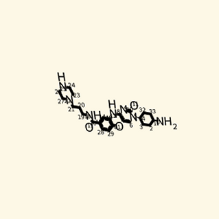 N[C@H]1CC[C@H](n2cc3c(nc2=O)Nc2cc(C(=O)NCCCN4CCNCC4)ccc2O3)CC1